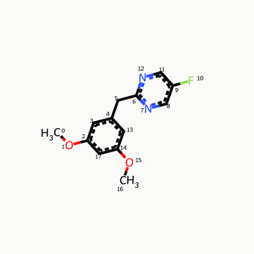 COc1cc([CH]c2ncc(F)cn2)cc(OC)c1